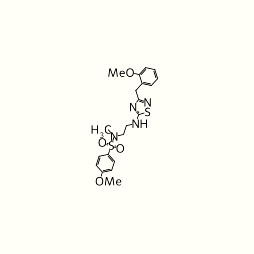 COc1ccc(S(=O)(=O)N(C)CCNc2nc(Cc3ccccc3OC)ns2)cc1